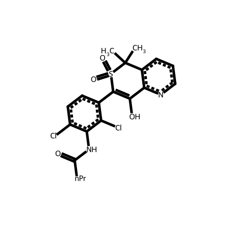 CCCC(=O)Nc1c(Cl)ccc(C2=C(O)c3ncccc3C(C)(C)S2(=O)=O)c1Cl